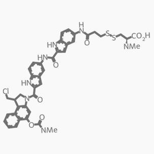 CNC(=O)Oc1cc2c(c3ccccc13)C(CCl)CN2C(=O)c1cc2cc(NC(=O)c3cc4cc(NC(=O)CCSSC[C@H](NC)C(=O)O)ccc4[nH]3)ccc2[nH]1